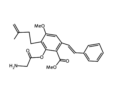 C=C(C)CCc1c(OC)cc(C=Cc2ccccc2)c(C(=O)OC)c1OC(=O)CN